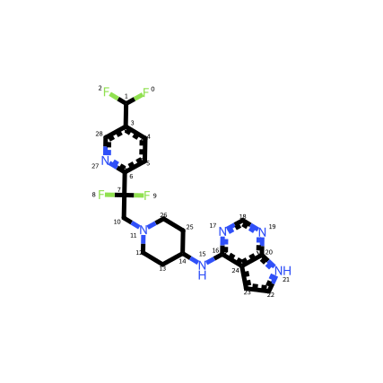 FC(F)c1ccc(C(F)(F)CN2CCC(Nc3ncnc4[nH]ccc34)CC2)nc1